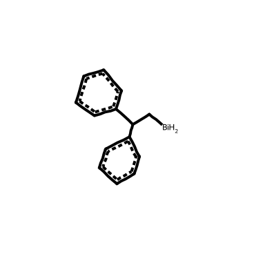 [BiH2][CH2]C(c1ccccc1)c1ccccc1